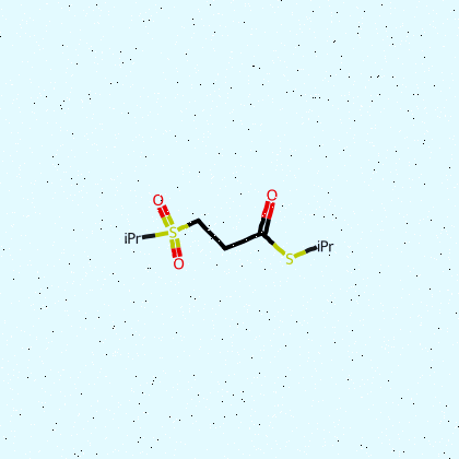 CC(C)SC(=O)CCS(=O)(=O)C(C)C